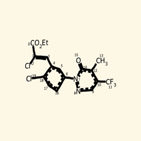 CCOC(=O)/C(Cl)=C/c1cc(-n2ncc(C(F)(F)F)c(C)c2=O)ccc1Cl